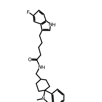 CN(C)C1(c2ccccc2)CCC(CNC(=O)CCCCc2c[nH]c3ccc(F)cc23)CC1